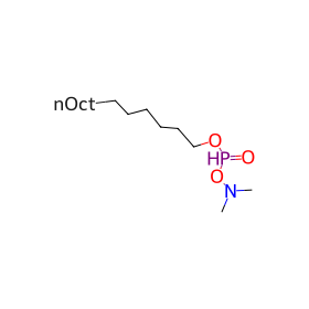 CCCCCCCCCCCCCCO[PH](=O)ON(C)C